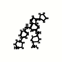 NC1CCC(Nc2nc(Nc3ccc(N4CCNCC4)cn3)c3ncn(C4CCCC4)c3n2)CC1